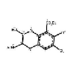 CCOC(=O)c1c(Cl)c(Cl)cc2c1OB(O)C(NC(C)=O)C2